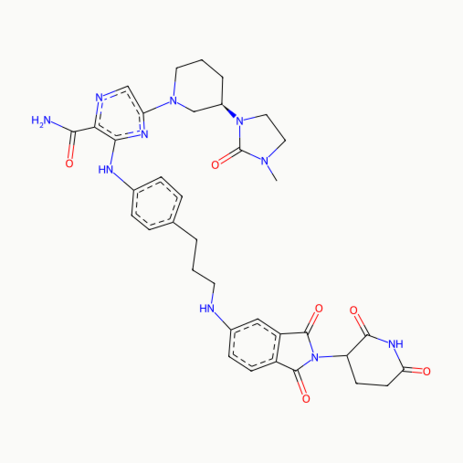 CN1CCN([C@@H]2CCCN(c3cnc(C(N)=O)c(Nc4ccc(CCCNc5ccc6c(c5)C(=O)N(C5CCC(=O)NC5=O)C6=O)cc4)n3)C2)C1=O